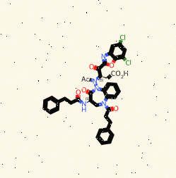 CC(=O)N([C@@H](CC(=O)O)C(=O)c1nc2cc(Cl)cc(Cl)c2o1)N1C(=O)[C@@H](NC(=O)CCc2ccccc2)CN(C(=O)CCc2ccccc2)c2ccccc21